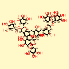 O=C(O[C@@H]1Cc2c(O)cc(O)c(Cc3c(O)c(Cc4c(O)cc(O)c5c4O[C@H](c4cc(O)c(O)c(O)c4)[C@H](OC(=O)c4cc(O)c(O)c(O)c4)C5)c4c(c3O)C[C@@H](OC(=O)c3cc(O)c(O)c(O)c3)[C@@H](c3cc(O)c(O)c(O)c3)O4)c2O[C@@H]1c1cc(O)c(O)c(O)c1)c1cc(O)c(O)c(O)c1